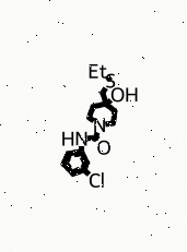 CCSCC1(O)CCN(C(=O)Nc2cccc(Cl)c2)CC1